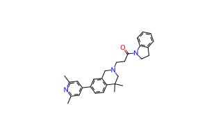 Cc1cc(-c2ccc3c(c2)CN(CCC(=O)N2CCc4ccccc42)CC3(C)C)cc(C)n1